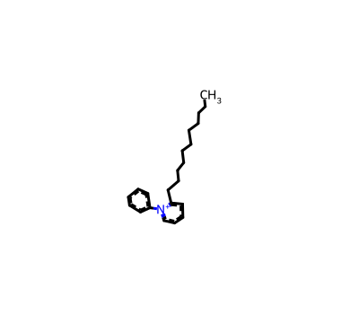 CCCCCCCCCCCc1cccc[n+]1-c1ccccc1